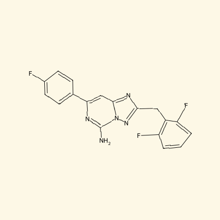 Nc1nc(-c2ccc(F)cc2)cc2nc(Cc3c(F)cccc3F)nn12